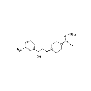 CC(C)(C)OC(=O)N1CCN(CCC(O)c2cccc(N)c2)CC1